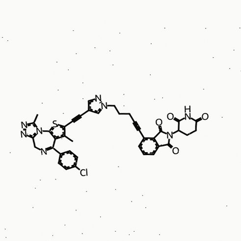 Cc1c(C#Cc2cnn(CCCC#Cc3cccc4c3C(=O)N(C3CCC(=O)NC3=O)C4=O)c2)sc2c1C(c1ccc(Cl)cc1)=NCc1nnc(C)n1-2